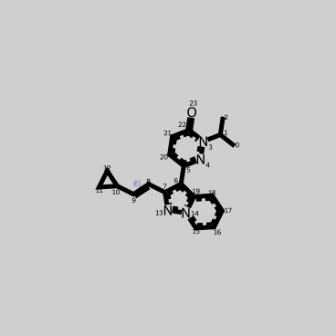 CC(C)n1nc(-c2c(/C=C/C3CC3)nn3ccccc23)ccc1=O